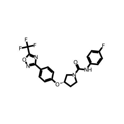 O=C(Nc1ccc(F)cc1)N1CC[C@H](Oc2ccc(-c3noc(C(F)(F)F)n3)cc2)C1